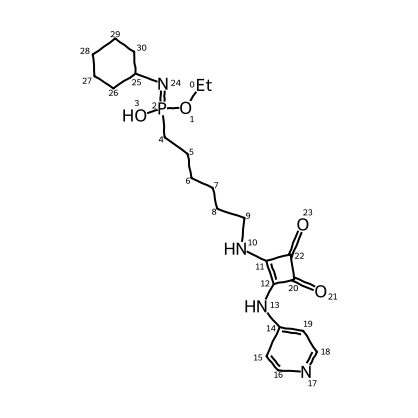 CCOP(O)(CCCCCCNc1c(Nc2ccncc2)c(=O)c1=O)=NC1CCCCC1